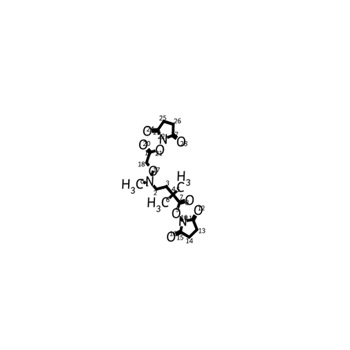 CN(CCC(C)(C)C(=O)ON1C(=O)CCC1=O)OCC(=O)ON1C(=O)CCC1=O